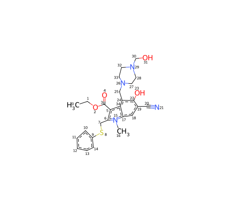 CCOC(=O)c1c(CSc2ccccc2)n(C)c2cc(C#N)c(O)c(CN3CCN(CO)CC3)c12